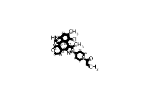 C=CC(=O)N1CCC(n2nc(C3=CCOCC3)c(-c3c(Cl)c(C)cc4[nH]ncc34)c2C)CC1